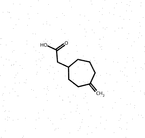 C=C1CCCC(CC(=O)O)CC1